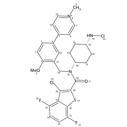 COc1ccc(-c2cc[n+](C)cc2)cc1CN(C(=O)c1sc2c(F)ccc(F)c2c1Cl)[C@H]1CC[C@@H](NCl)CC1